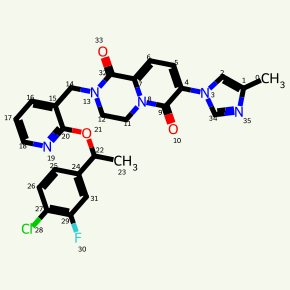 Cc1cn(-c2ccc3n(c2=O)CCN(Cc2cccnc2OC(C)c2ccc(Cl)c(F)c2)C3=O)cn1